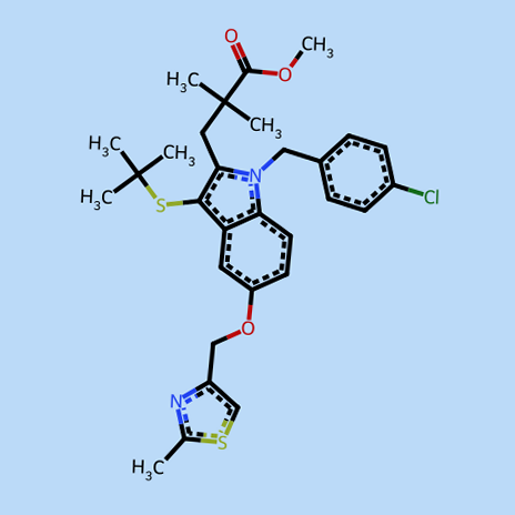 COC(=O)C(C)(C)Cc1c(SC(C)(C)C)c2cc(OCc3csc(C)n3)ccc2n1Cc1ccc(Cl)cc1